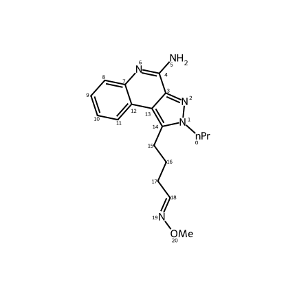 CCCn1nc2c(N)nc3ccccc3c2c1CCCC=NOC